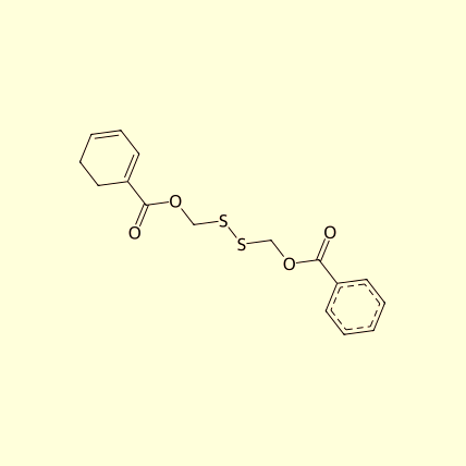 O=C(OCSSCOC(=O)c1ccccc1)C1=CC=CCC1